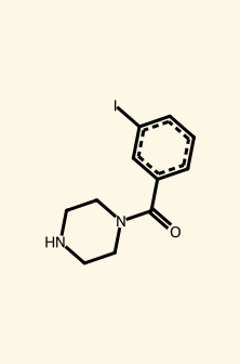 O=C(c1cccc(I)c1)N1CCNCC1